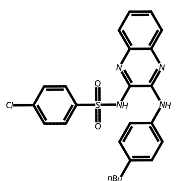 CCCCc1ccc(Nc2nc3ccccc3nc2NS(=O)(=O)c2ccc(Cl)cc2)cc1